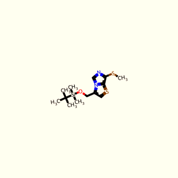 CSc1ncn2c(CO[Si](C)(C)C(C)(C)C)csc12